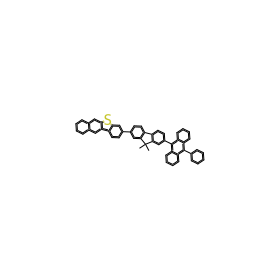 CC1(C)c2cc(-c3ccc4c(c3)sc3cc5ccccc5cc34)ccc2-c2ccc(-c3c4ccccc4c(-c4ccccc4)c4ccccc34)cc21